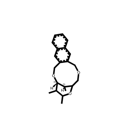 CC1OC2COCc3cc4ccccc4cc3CO[C@@H](C1C)[C@@H]2C